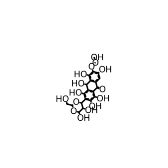 O=C1c2cc(O)c(OOO)c(O)c2C(O)c2c(O)c(C3OC(CO)OC(O)C3O)c(O)c(O)c21